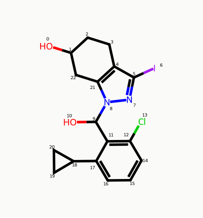 OC1CCc2c(I)nn(C(O)c3c(Cl)cccc3C3CC3)c2C1